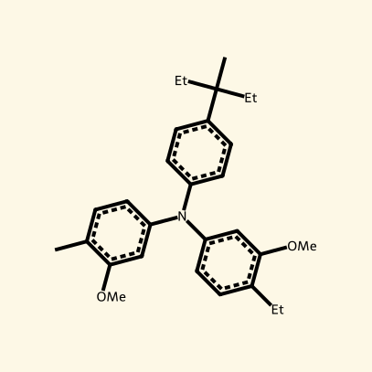 CCc1ccc(N(c2ccc(C(C)(CC)CC)cc2)c2ccc(C)c(OC)c2)cc1OC